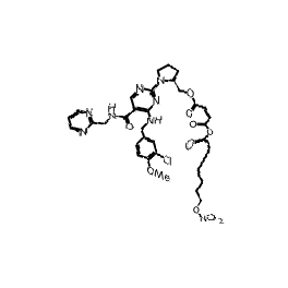 COc1ccc(CNc2nc(N3CCC[C@H]3COC(=O)/C=C\C(=O)OC(=O)CCCCCO[N+](=O)[O-])ncc2C(=O)NCc2ncccn2)cc1Cl